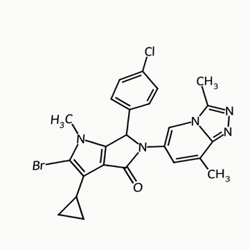 Cc1cc(N2C(=O)c3c(C4CC4)c(Br)n(C)c3C2c2ccc(Cl)cc2)cn2c(C)nnc12